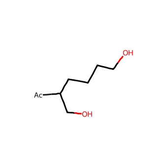 CC(=O)C(CO)CCCCO